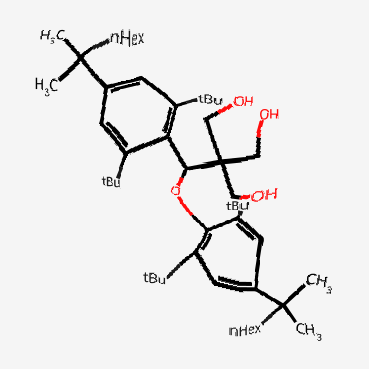 CCCCCCC(C)(C)c1cc(C(C)(C)C)c(OC(c2c(C(C)(C)C)cc(C(C)(C)CCCCCC)cc2C(C)(C)C)C(CO)(CO)CO)c(C(C)(C)C)c1